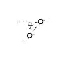 N#Cc1ccc(N2CC(=O)N(Cc3ccc(C(F)(F)F)cc3)[C@]3(C[C@H](C(=O)O)C3)C2=O)c(F)c1